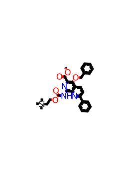 COC(=O)c1nc(NC(=O)OCC[Si](C)(C)C)c2nc(-c3ccccc3)ccc2c1OCc1ccccc1